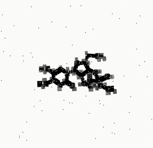 CC[C@H]1O[C@@H](n2cc(C)c(N)nc2=O)[C@@H](OC)C1OP(=O)(O)OC